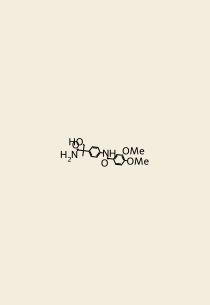 COc1ccc(C(=O)Nc2ccc(C(C)(CO)C(N)=O)cc2)cc1OC